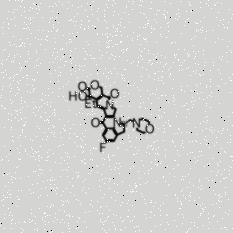 CC[C@@]1(O)C(=O)OCc2c1cc1n(c2=O)Cc2c-1c(=O)c1cc(F)cc3c1n2[C@@H](CN1CCOCC1)C3